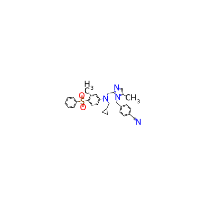 Cc1cc(N(Cc2ncc(C)n2Cc2ccc(C#N)cc2)CC2CC2)ccc1S(=O)(=O)c1ccccc1